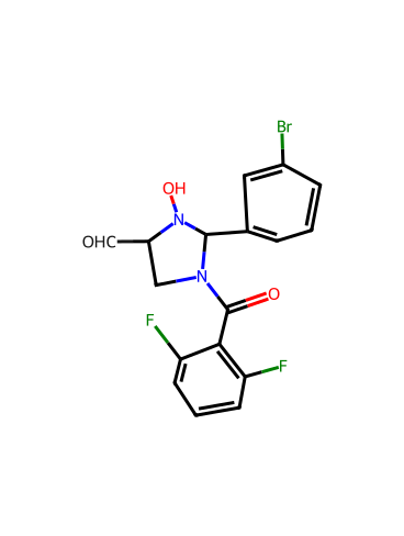 O=CC1CN(C(=O)c2c(F)cccc2F)C(c2cccc(Br)c2)N1O